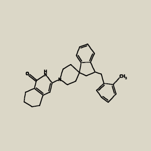 Cc1ccccc1CC1CC2(CCN(c3cc4c(c(=O)[nH]3)CCCC4)CC2)c2ccccc21